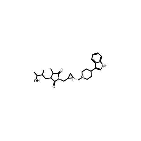 CC(O)C(C)CC1C(=O)N(CC2C[C@@H]2CN2CCC(c3c[nH]c4ccccc34)CC2)C(=O)C1C